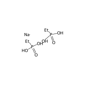 CCP(=O)(O)O.CCP(=O)(O)O.[Na]